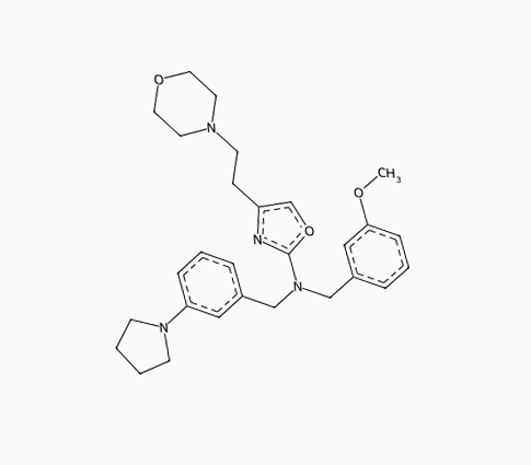 COc1cccc(CN(Cc2cccc(N3CCCC3)c2)c2nc(CCN3CCOCC3)co2)c1